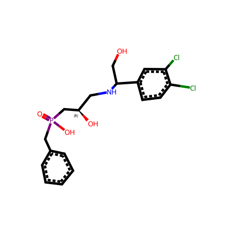 O=P(O)(Cc1ccccc1)C[C@H](O)CNC(CO)c1ccc(Cl)c(Cl)c1